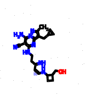 Cc1nn2c(N)c(C#N)c(NCCC(=N)/C=C\NC3CCC3CO)nc2c1CC1CC1